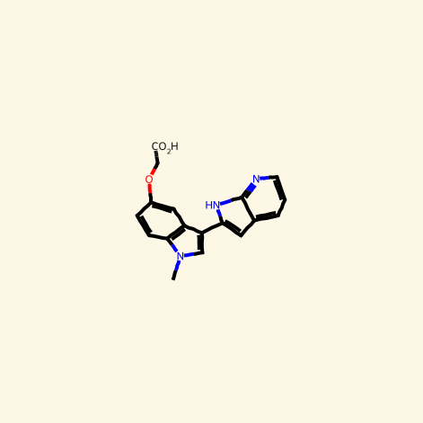 Cn1cc(-c2cc3cccnc3[nH]2)c2cc(OCC(=O)O)ccc21